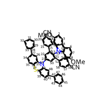 COc1ccc2c3ccc(OC)cc3n(-c3c(-c4ccc(C#N)cc4)cc(N4c5cc(-c6ccccc6)ccc5Sc5ccc(-c6ccccc6)cc54)cc3-c3ccc(C#N)cc3)c2c1